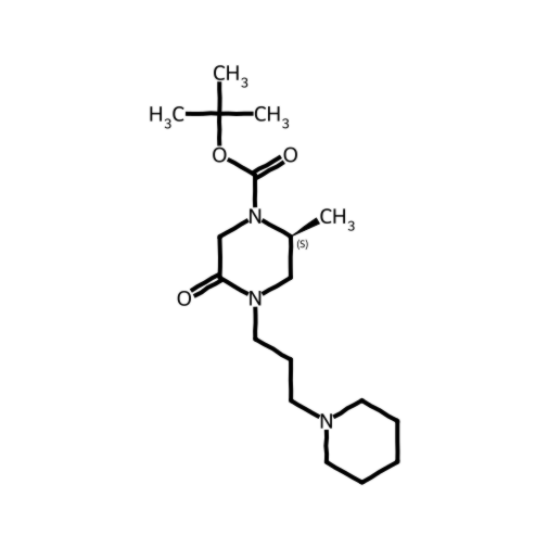 C[C@H]1CN(CCCN2CCCCC2)C(=O)CN1C(=O)OC(C)(C)C